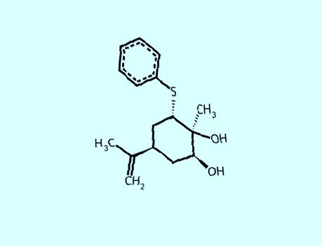 C=C(C)[C@H]1C[C@H](Sc2ccccc2)[C@@](C)(O)[C@@H](O)C1